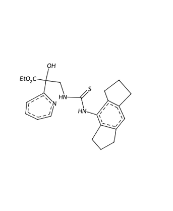 CCOC(=O)C(O)(CNC(=S)Nc1c2c(cc3c1CCC3)CCC2)c1ccccn1